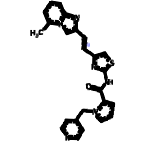 Cc1cccc2nc(/C=C/c3csc(NC(=O)c4cccn4Cc4ccncc4)n3)cn12